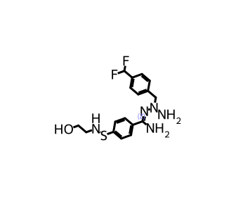 N/C(=N\N(N)Cc1ccc(C(F)F)cc1)c1ccc(SNCCO)cc1